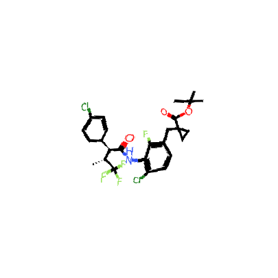 C[C@H]([C@H](C(=O)Nc1c(Cl)ccc(CC2(C(=O)OC(C)(C)C)CC2)c1F)C1C=CC(Cl)=CC1)C(F)(F)F